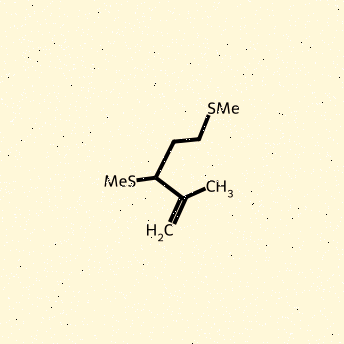 C=C(C)C(CCSC)SC